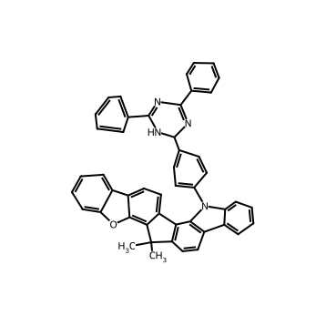 CC1(C)c2ccc3c4ccccc4n(-c4ccc(C5N=C(c6ccccc6)N=C(c6ccccc6)N5)cc4)c3c2-c2ccc3c(oc4ccccc43)c21